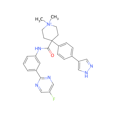 C[N+]1(C)CCC(C(=O)Nc2cccc(-c3ncc(F)cn3)c2)(c2ccc(-c3cn[nH]c3)cc2)CC1